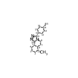 Cc1cccc2c1ccn1c(-c3ccc(I)cc3)nnc21